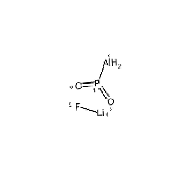 O=[P](=O)[AlH2].[Li][F]